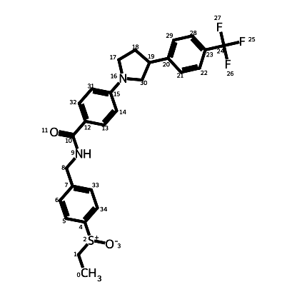 CC[S+]([O-])c1ccc(CNC(=O)c2ccc(N3CCC(c4ccc(C(F)(F)F)cc4)C3)cc2)cc1